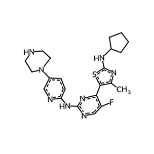 Cc1nc(NC2CCCC2)sc1-c1nc(Nc2ccc(N3CCNCC3)cn2)ncc1F